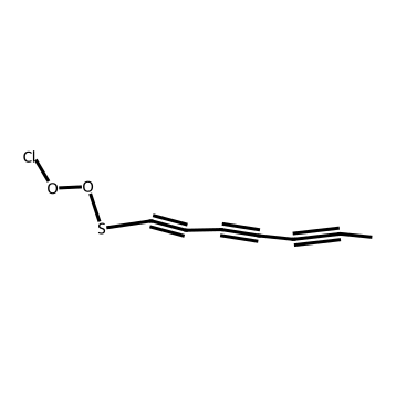 CC#CC#CC#CSOOCl